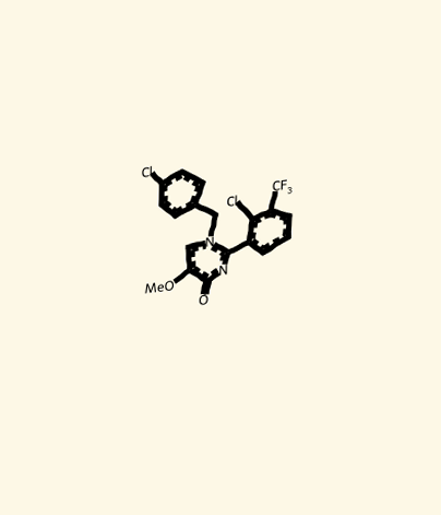 COc1cn(Cc2ccc(Cl)cc2)c(-c2cccc(C(F)(F)F)c2Cl)nc1=O